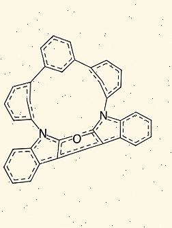 c1cc2cc(c1)-c1cccc(c1)-n1c3ccccc3c3c4c5ccccc5n(c4oc31)-c1cccc-2c1